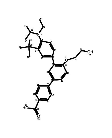 CCN(c1ccc(-c2cc(-c3ccc(C(=O)O)cc3)ccc2OCCO)cc1C(C)(C)C)C(C)C